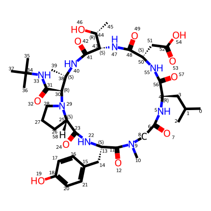 CC(C)C[C@H]1NC(=O)CN(C)C(=O)[C@H](Cc2ccc(O)cc2)NC(=O)[C@@H]2CCCN2[C@@H](C(=O)NC(C)(C)C)[C@H](C)NC(=O)[C@H]([C@@H](C)O)NC(=O)[C@H](CC(=O)O)NC1=O